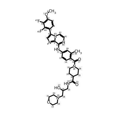 COc1ccc(-c2cnc3c(Nc4ccc(C(=O)N5CCC(C(=O)NCC(O)CN6CCOCC6)CC5)c(C)c4)nccn23)c(F)c1F